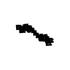 CCN(CC)C1=CC2OC(/C=C/CC/C=C/c3cc4ccc(N(CC)CC)cc4o3)=CC2C=C1